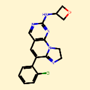 Clc1ccccc1C1=Cc2cnc(NC3COC3)nc2N2CCN=C12